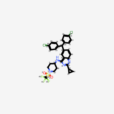 O=S(=O)(N1CCC(Nc2nc(C3CC3)nc3ccc(C(c4ccc(Cl)cc4)c4ccc(Cl)cc4)cc23)CC1)C(F)(F)F